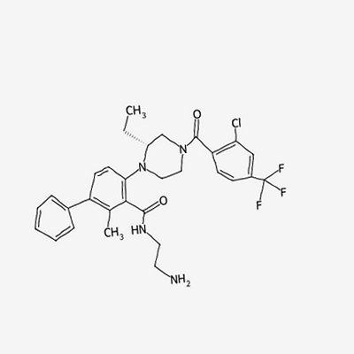 CC[C@@H]1CN(C(=O)c2ccc(C(F)(F)F)cc2Cl)CCN1c1ccc(-c2ccccc2)c(C)c1C(=O)NCCN